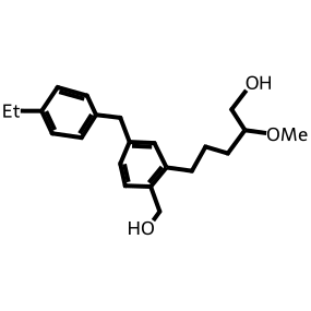 CCc1ccc(Cc2ccc(CO)c(CCCC(CO)OC)c2)cc1